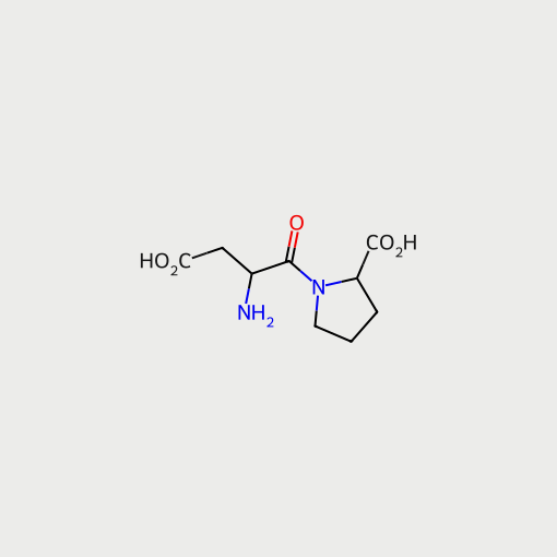 NC(CC(=O)O)C(=O)N1CCCC1C(=O)O